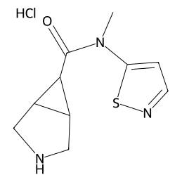 CN(C(=O)C1C2CNCC21)c1ccns1.Cl